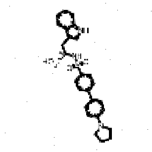 O=C(O)[C@@H](Cc1c[nH]c2ccccc12)NS(=O)(=O)c1ccc(-c2ccc(N3CCCC3)cc2)cc1